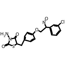 NN1C(=O)SC(Cc2ccc(OCC(N=O)c3cccc(Cl)c3)cc2)C1=O